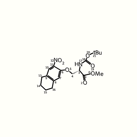 COC(=O)[C@H](COc1cc2c(cc1[N+](=O)[O-])CCCC2)NC(=O)OC(C)(C)C